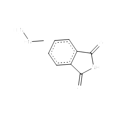 CNN.O=C1NC(=O)c2ccccc21